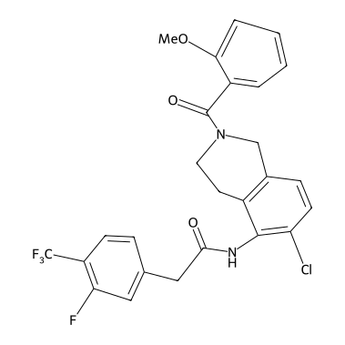 COc1ccccc1C(=O)N1CCc2c(ccc(Cl)c2NC(=O)Cc2ccc(C(F)(F)F)c(F)c2)C1